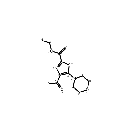 C=C(OCC)c1nc(C(C)=O)c(N2CCOCC2)s1